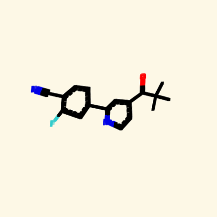 CC(C)(C)C(=O)c1ccnc(-c2ccc(C#N)c(F)c2)c1